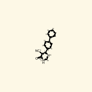 N#Cc1c(-c2ccc(-c3ccccc3)cc2)nc[nH]c1=O